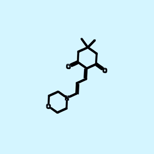 CC1(C)CC(=O)C(=C/C=C/N2CCOCC2)C(=O)C1